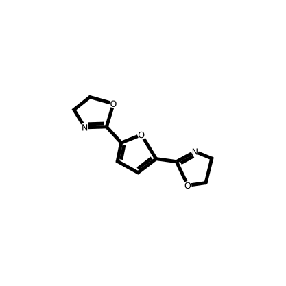 c1cc(C2=NCCO2)oc1C1=NCCO1